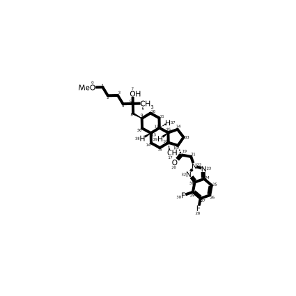 COCCCCC(C)(O)C[C@H]1CC[C@@H]2[C@H](CC[C@]3(C)[C@@H](C(=O)Cn4nc5ccc(F)c(F)c5n4)CC[C@@H]23)C1